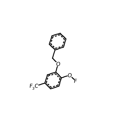 FOc1ccc(C(F)(F)F)cc1OCc1ccccc1